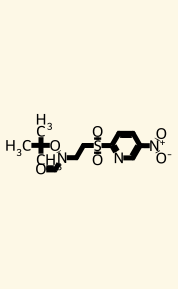 CC(C)(C)ON(C=O)CCS(=O)(=O)c1ccc([N+](=O)[O-])cn1